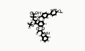 COc1ccc(-c2ccc(Cn3c(CC(C)(C)C(=O)O)c(SC(C)(C)C)c4cc(O[C@H](C(C)=O)C5Cc6ccccc6N5)ccc43)cc2)cn1